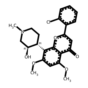 COc1cc(OC)c2c(=O)cc(-c3ccccc3Cl)oc2c1[C@H]1CCN(C)C[C@@H]1O